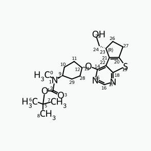 CN(C(=O)OC(C)(C)C)[C@H]1CC[C@H](Oc2ncnc3sc4c(c23)[C@H](CO)CC4)CC1